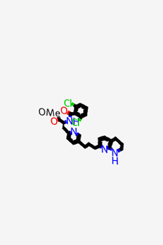 COC(=O)[C@H](Cc1ccc(CCCc2ccc3c(n2)NCCC3)cn1)NC(=O)c1c(Cl)cccc1Cl